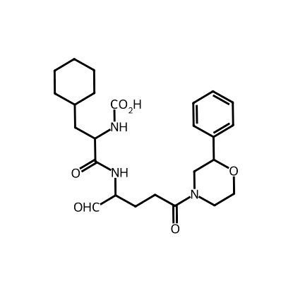 O=CC(CCC(=O)N1CCOC(c2ccccc2)C1)NC(=O)C(CC1CCCCC1)NC(=O)O